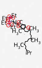 CCOP(=O)(OCC)C(CCC(=O)Oc1c(C)cc2c(c1C)CCC(C)(CCCC(C)CCCC(C)CCCC(C)C)O2)P(=O)(OCC)OCC